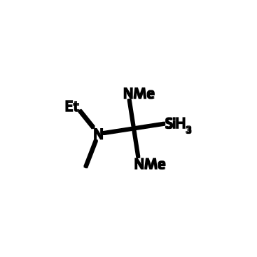 CCN(C)C([SiH3])(NC)NC